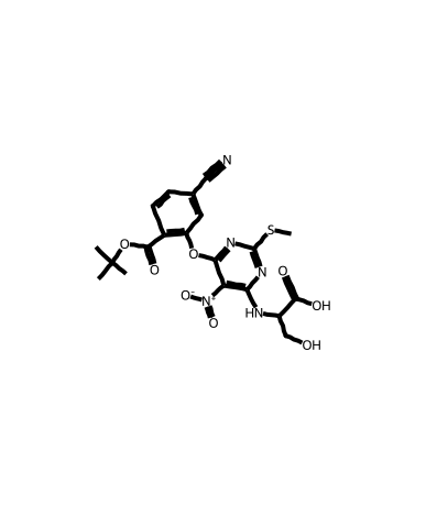 CSc1nc(NC(CO)C(=O)O)c([N+](=O)[O-])c(Oc2cc(C#N)ccc2C(=O)OC(C)(C)C)n1